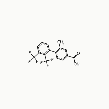 Cc1cc(C(=O)O)ccc1-c1cccc(C(F)(F)F)c1C(F)(F)F